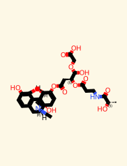 C[C@H](O)C(=O)NCCC(=O)O[C@@H](CC(=O)OC1=CC[C@@]2(O)[C@H]3Cc4ccc(O)c5c4C2(CCN3C)[C@H]1O5)C(O)OCC(=O)O